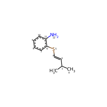 CC(C)/C=C/Sc1ccccc1N